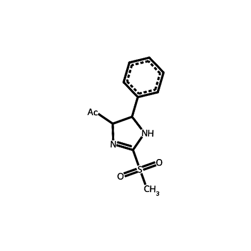 CC(=O)C1N=C(S(C)(=O)=O)NC1c1ccccc1